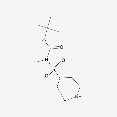 CN(C(=O)OC(C)(C)C)S(=O)(=O)C1CCNCC1